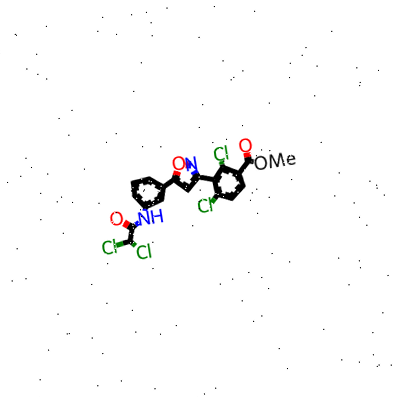 COC(=O)c1ccc(Cl)c(-c2cc(-c3cccc(NC(=O)C(Cl)Cl)c3)on2)c1Cl